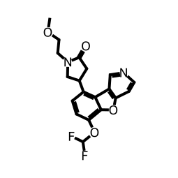 COCCN1CC(c2ccc(OC(F)F)c3oc4ccncc4c23)CC1=O